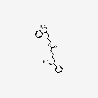 C=CC(CCCOC(=O)OCCCC(C=C)c1ccccc1)c1ccccc1